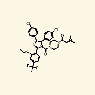 CCOc1cc(C(F)(F)F)ccc1C1=NC(c2ccc(Cl)cc2)C(c2ccc(Cl)cc2)N1C(=O)N1CCN(C(=O)CN(C)C)CC1